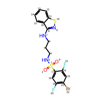 O=S(=O)(NCCCNc1nsc2ccccc12)c1cc(F)c(Br)cc1F